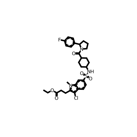 CCOC(=O)CCc1c(Cl)c2ccc(S(=O)(=O)NC3CCC(C(=O)N4CCCC4c4ccc(F)cc4)CC3)cc2n1C